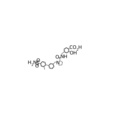 Cc1cc(S(N)(=O)=O)ccc1-c1cccc(CN2CCC[C@@H]2C(=O)NCc2ccc(C(=O)O)c(O)c2)c1